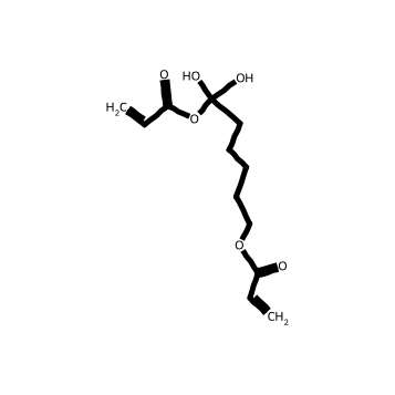 C=CC(=O)OCCCCCC(O)(O)OC(=O)C=C